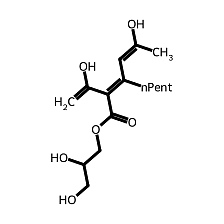 C=C(O)/C(C(=O)OCC(O)CO)=C(\C=C(/C)O)CCCCC